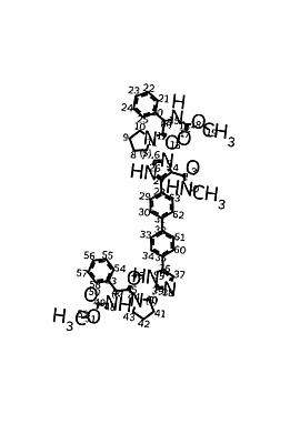 CNC(=O)c1nc([C@@H]2CCCN2C(=O)[C@H](NC(=O)OC)c2ccccc2)[nH]c1-c1ccc(-c2ccc(-c3cnc([C@@H]4CCCN4C(=O)[C@H](NC(=O)OC)c4ccccc4)[nH]3)cc2)cc1